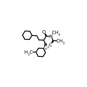 C=C(C)N(C)C(=O)C(CCC1CCCCC1)C[C@H]1CCCC(C)C1